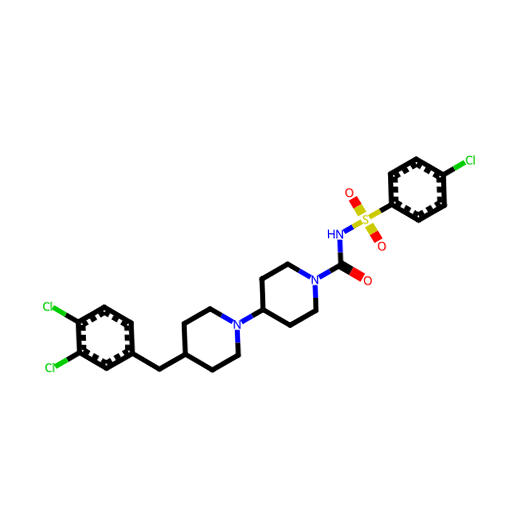 O=C(NS(=O)(=O)c1ccc(Cl)cc1)N1CCC(N2CCC(Cc3ccc(Cl)c(Cl)c3)CC2)CC1